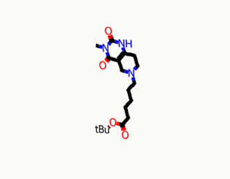 Cn1c(=O)[nH]c2c(c1=O)CN(CCCCCC(=O)OC(C)(C)C)CC2